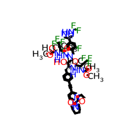 COC(=O)N[C@H](C(=O)N[C@@H](Cc1ccc(C#Cc2ccc(N3CC4CCC(C3)N4C(=O)C3CCCO3)nc2)cc1)[C@@H](O)CN(Cc1c(F)cc(/C(C=N)=C/NC(F)F)cc1F)NC(=O)[C@@H](NC(=O)OC)C(C)(C)C(F)(F)F)C(C)(C)C(F)(F)F